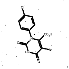 O=C(O)c1c(Br)c(=O)[nH]c(=O)n1-c1ccc(Cl)cc1